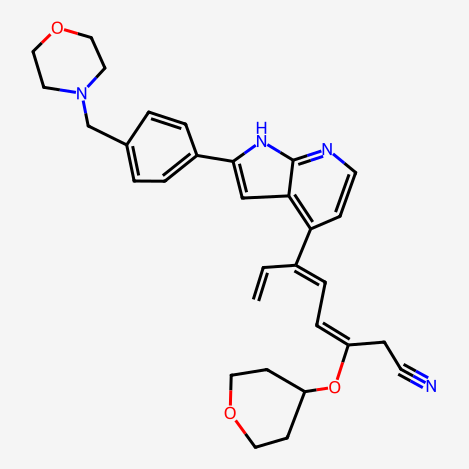 C=C/C(=C\C=C(/CC#N)OC1CCOCC1)c1ccnc2[nH]c(-c3ccc(CN4CCOCC4)cc3)cc12